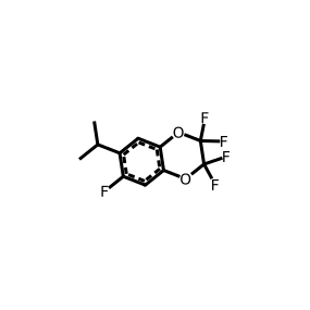 CC(C)c1cc2c(cc1F)OC(F)(F)C(F)(F)O2